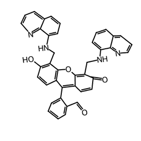 O=Cc1ccccc1-c1c2ccc(=O)c(CNc3cccc4cccnc34)c-2oc2c(CNc3cccc4cccnc34)c(O)ccc12